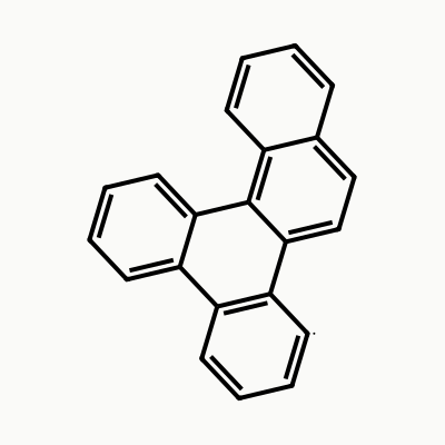 [c]1cccc2c1c1ccc3ccccc3c1c1ccccc21